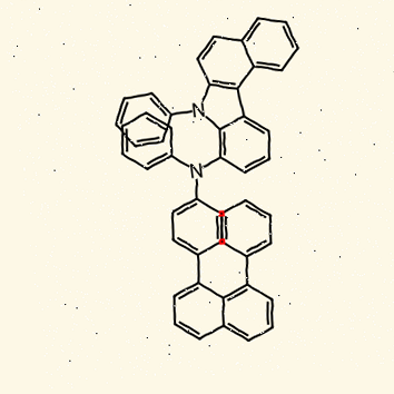 c1ccc(-c2cccc3cccc(-c4ccc(N(c5ccccc5)c5cccc6c7c8ccccc8ccc7n(-c7ccccc7)c56)cc4)c23)cc1